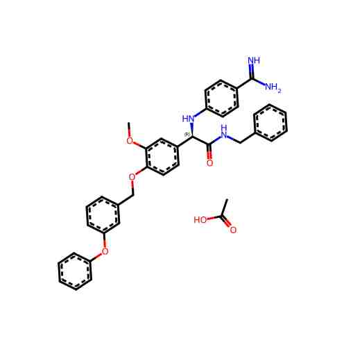 CC(=O)O.COc1cc([C@@H](Nc2ccc(C(=N)N)cc2)C(=O)NCc2ccccc2)ccc1OCc1cccc(Oc2ccccc2)c1